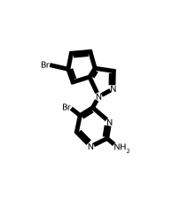 Nc1ncc(Br)c(-n2ncc3ccc(Br)cc32)n1